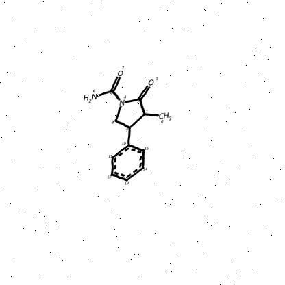 CC1C(=O)N(C(N)=O)CC1c1ccccc1